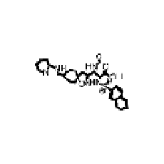 O=CNC(C1=NOC2(CCC(CNc3ccccn3)CC2)C1)[C@H](NS(=O)(=O)c1ccc2ccccc2c1)C(=O)O